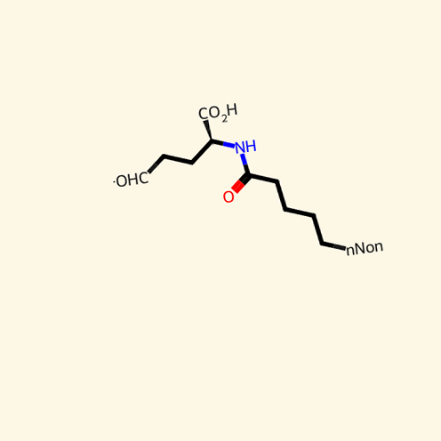 CCCCCCCCCCCCCC(=O)N[C@@H](CC[C]=O)C(=O)O